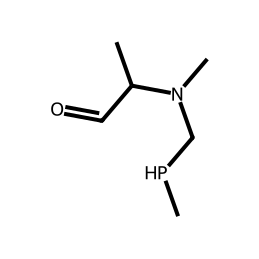 CPCN(C)C(C)C=O